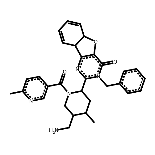 Cc1ccc(C(=O)N2CC(CN)C(C)CC2c2nc3c(c(=O)n2Cc2ccccc2)OC2C=CC=CC32)cn1